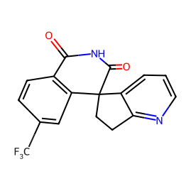 O=C1NC(=O)C2(CCc3ncccc32)c2cc(C(F)(F)F)ccc21